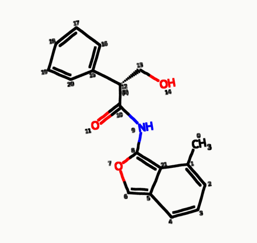 Cc1cccc2coc(NC(=O)[C@@H](CO)c3ccccc3)c12